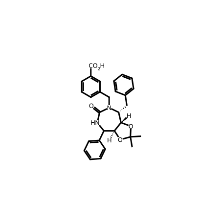 CC1(C)O[C@H]2[C@@H](Cc3ccccc3)N(Cc3cccc(C(=O)O)c3)C(=O)NC(c3ccccc3)[C@@H]2O1